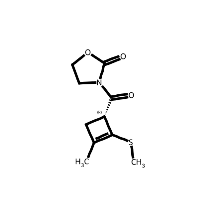 CSC1=C(C)C[C@@H]1C(=O)N1CCOC1=O